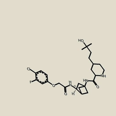 CC(C)(O)CCC1CCNC(C(=O)NC23CC(C2)[C@@H](NC(=O)COc2ccc(Cl)c(F)c2)C3)C1